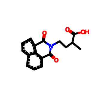 CC(CCN1C(=O)c2cccc3cccc(c23)C1=O)C(=O)O